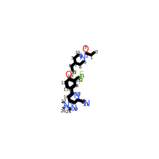 CCC(=O)N1CCC(CCOc2ccc(-c3cc4c(c(C#N)n3)N=C[N+]4(C)C)cc2C(F)(F)F)CC1